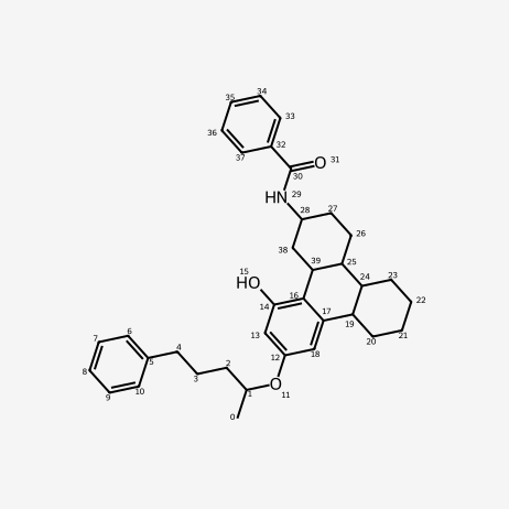 CC(CCCc1ccccc1)Oc1cc(O)c2c(c1)C1CCCCC1C1CCC(NC(=O)c3ccccc3)CC21